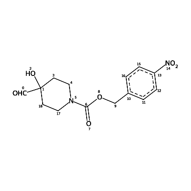 O=CC1(O)CCN(C(=O)OCc2ccc([N+](=O)[O-])cc2)CC1